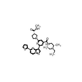 CCN(CC)[C@@H](C)CNC(=O)c1cc(-c2cnn3ccc(-c4cccs4)nc23)nc(N2CC[C@H](C(=O)NC)C2)c1